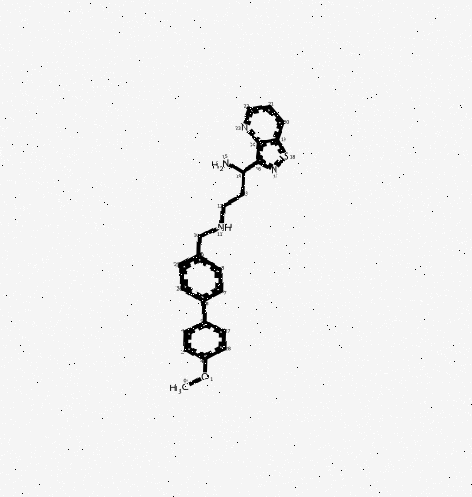 COc1ccc(-c2ccc(CNCCC(N)c3nsc4cccnc34)cc2)cc1